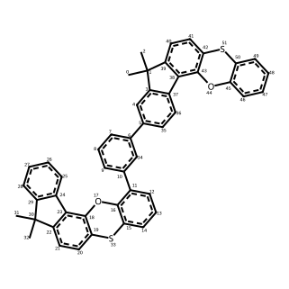 CC1(C)c2cc(-c3cccc(-c4cccc5c4Oc4c(ccc6c4-c4ccccc4C6(C)C)S5)c3)ccc2-c2c1ccc1c2Oc2ccccc2S1